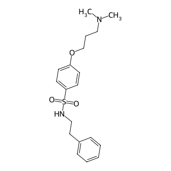 CN(C)CCCOc1ccc(S(=O)(=O)NCCc2ccccc2)cc1